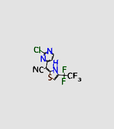 N#CC(=C1NC(C(F)(F)C(F)(F)F)=CS1)c1ccnc(Cl)n1